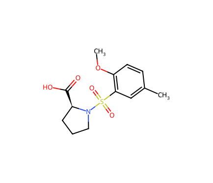 COc1ccc(C)cc1S(=O)(=O)N1CCC[C@H]1C(=O)O